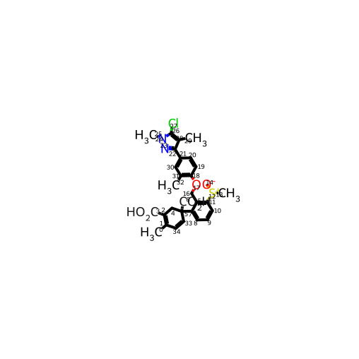 CC1=C(C(=O)O)CC(C(=O)O)(c2cccc([S+](C)[O-])c2COc2ccc(-c3nn(C)c(Cl)c3C)cc2C)C=C1